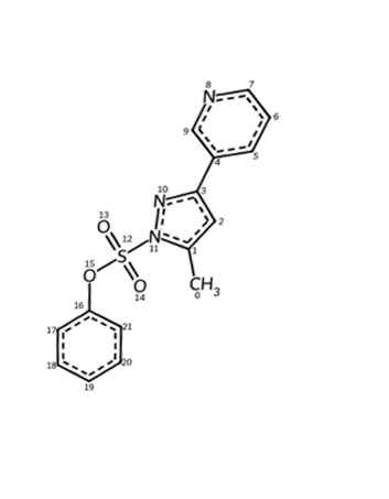 Cc1cc(-c2cccnc2)nn1S(=O)(=O)Oc1ccccc1